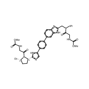 CCCN(Cc1nc2ccc(-c3ccc(-c4cnc([C@@H]5CC[C@H](CC)N5C(=O)CNC(=O)OC)[nH]4)cc3)cc2[nH]1)C(=O)CNC(=O)OC